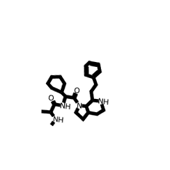 CNC(C)C(=O)NC(C(=O)N1CCC2CCNC(CCc3ccccc3)C21)C1CCCCC1